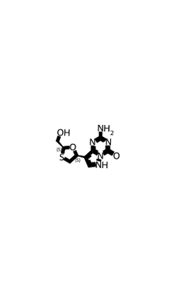 Nc1nc(=O)n2[nH]cc([C@H]3CS[C@@H](CO)O3)c2n1